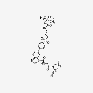 CC(C)(C)OC(=O)NCCCS(=O)(=O)c1ccc(-c2ccc3nccc(C(=O)NCC(=O)N4CC(F)(F)C[C@H]4C#N)c3c2)cc1